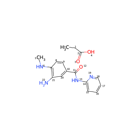 CCC(=O)O.CNc1ccc(C(=O)Nc2ccccn2)cc1N